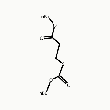 CCCCOC(=O)CCSC(=O)OCCCC